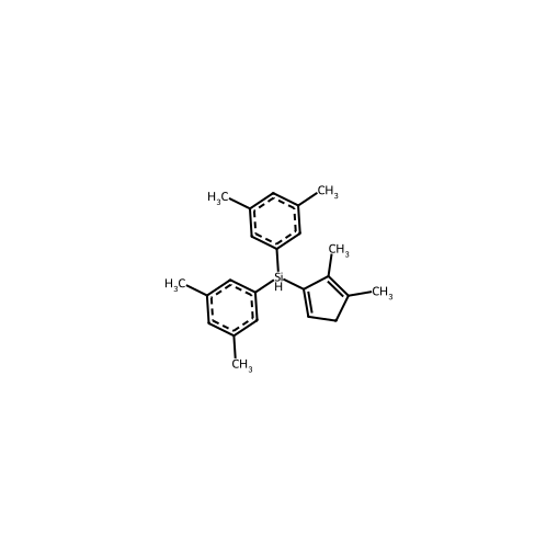 CC1=C(C)C([SiH](c2cc(C)cc(C)c2)c2cc(C)cc(C)c2)=CC1